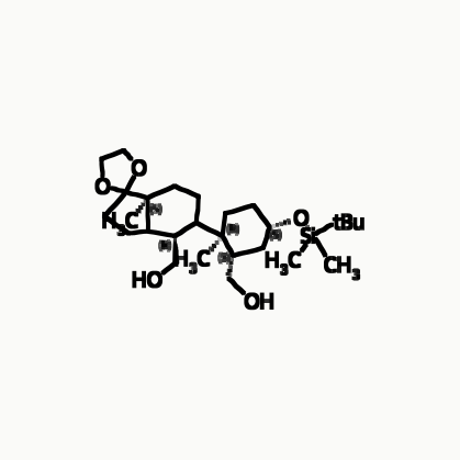 CC(C)(C)[Si](C)(C)O[C@H]1CC[C@](C)(C2CC[C@@]3(C)C(CCC34OCCO4)[C@@H]2CO)[C@@H](CO)C1